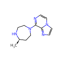 C[C@@H]1CCN(c2nccn3ccnc23)CCN1